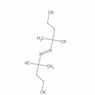 CC(C#N)(CCC#N)N=NC(C)(C#N)CCC#N